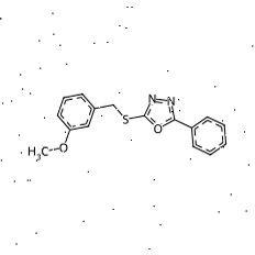 COc1cccc(CSc2nnc(-c3ccccc3)o2)c1